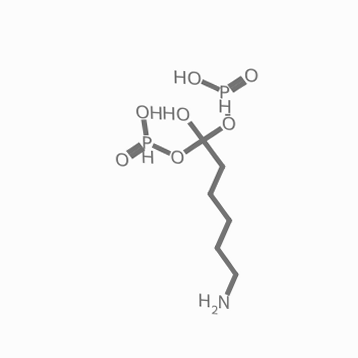 NCCCCCC(O)(O[PH](=O)O)O[PH](=O)O